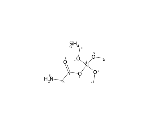 CO[Si](OC)(OC)OC(=O)CN.[SiH4]